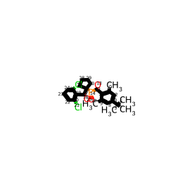 Cc1cc(C(C)(C)C)cc(C)c1C(=O)[P](=O)C1(C(=O)c2c(Cl)cccc2Cl)CCCC1